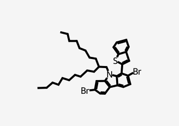 CCCCCCCCCCC(CCCCCCCC)Cn1c2cc(Br)ccc2c2ccc(Br)c(-c3cc4ccccc4s3)c21